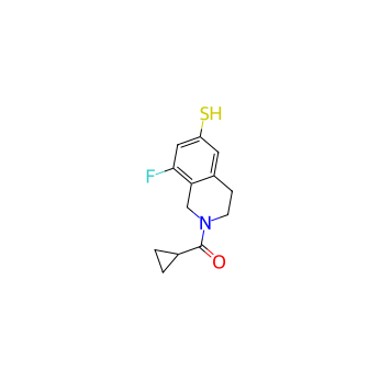 O=C(C1CC1)N1CCc2cc(S)cc(F)c2C1